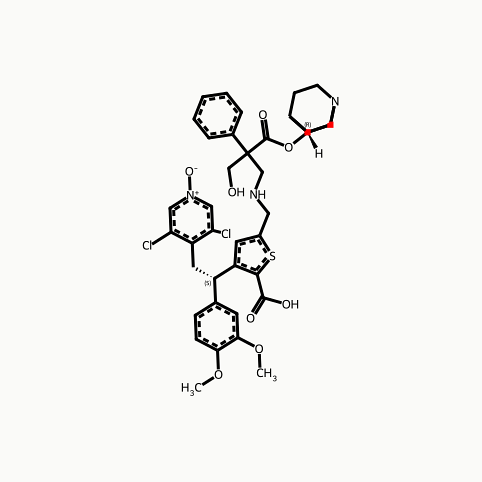 COc1ccc([C@H](Cc2c(Cl)c[n+]([O-])cc2Cl)c2cc(CNCC(CO)(C(=O)O[C@H]3CN4CCC3CC4)c3ccccc3)sc2C(=O)O)cc1OC